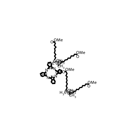 COC(=O)CCCCCCCCCC[Si](C)(C)O[Si](C)(C)CCCCCCCCCCC(=O)OC.COC(=O)CCCCCCCCCC[Si](C)(C)O[Si](C)(C)CCCCCCCCCCC(=O)OC.c1ccc2c(c1)-c1nc-2nc2[nH]c(nc3nc(nc4[nH]c(n1)c1ccccc41)-c1ccccc1-3)c1ccccc21